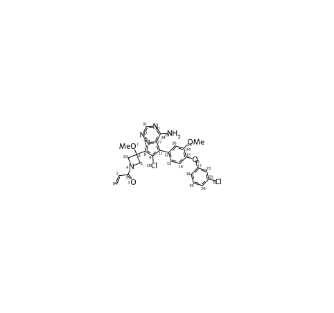 C=CC(=O)N1CC(OC)(c2c(Cl)c(-c3ccc(Oc4cccc(Cl)c4)c(OC)c3)c3c(N)ncnn23)C1